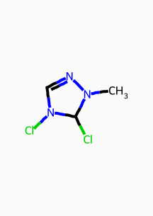 CN1N=CN(Cl)C1Cl